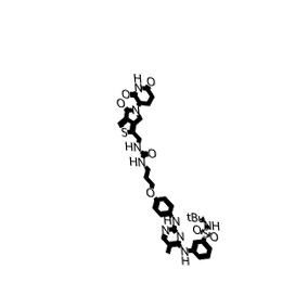 Cc1cnc(Nc2ccc(OCCCNC(=O)NCc3scc4c3CN(C3CCC(=O)NC3=O)C4=O)cc2)nc1Nc1cccc(S(=O)(=O)NC(C)(C)C)c1